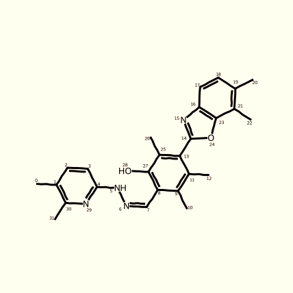 Cc1ccc(N/N=C\c2c(C)c(C)c(-c3nc4ccc(C)c(C)c4o3)c(C)c2O)nc1C